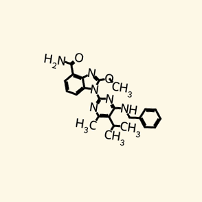 COc1nc2c(C(N)=O)cccc2n1-c1nc(C)c(C(C)C)c(NCc2ccccc2)n1